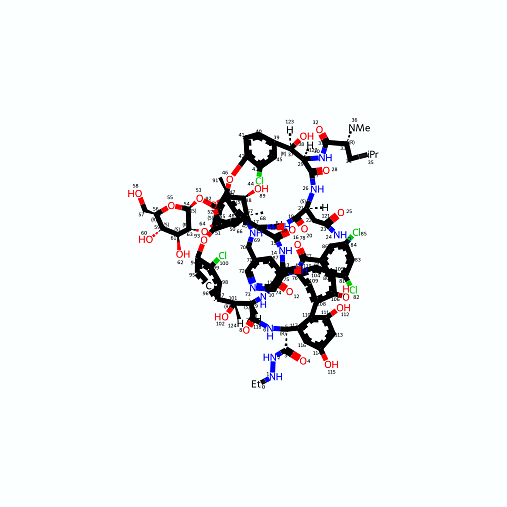 CCNNC(=O)[C@@H]1NC(=O)[C@H]2NC(=O)[C@H](NC(=O)[C@@H]3NC(=O)[C@H](CC(N)=O)NC(=O)[C@H](NC(=O)[C@@H](CC(C)C)NC)[C@H](O)c4ccc(c(Cl)c4)Oc4cc3cc(c4O[C@@H]3O[C@H](CO)[C@@H](O)[C@H](O)[C@H]3O[C@H]3C[C@](C)(NCc4cncc(NC(=O)c5cc(Cl)cc(Cl)c5)c4)[C@H](O)[C@H](C)O3)Oc3ccc(cc3Cl)[C@H]2O)c2ccc(O)c(c2)-c2c(O)cc(O)cc21